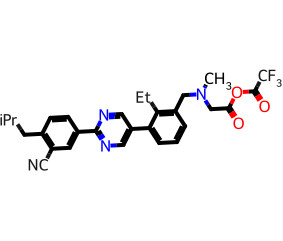 CCc1c(CN(C)CC(=O)OC(=O)C(F)(F)F)cccc1-c1cnc(-c2ccc(CC(C)C)c(C#N)c2)nc1